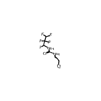 O=C(NCCCl)NC(F)C(F)(F)C(F)F